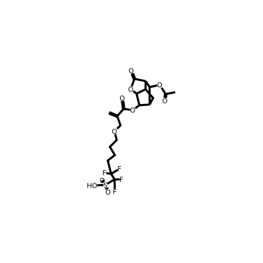 C=C(COCCCCC(F)(F)C(F)(F)S(=O)(=O)O)C(=O)OC1C2CC3C1OC(=O)C3C2OC(C)=O